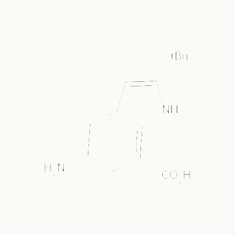 CC(C)(C)c1cc2cc(N)cc(C(=O)O)c2[nH]1